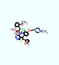 COc1ccccc1CC(Nc1ncnc2sc(-c3ccc(F)o3)c(-c3ccc(OCCN4CCN(C)CC4)c(Cl)c3C)c12)C(=O)O